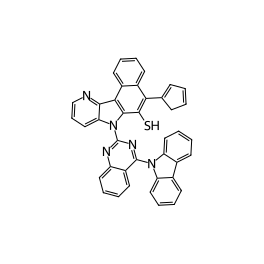 Sc1c(C2=CC=CC2)c2ccccc2c2c3ncccc3n(-c3nc(-n4c5ccccc5c5ccccc54)c4ccccc4n3)c12